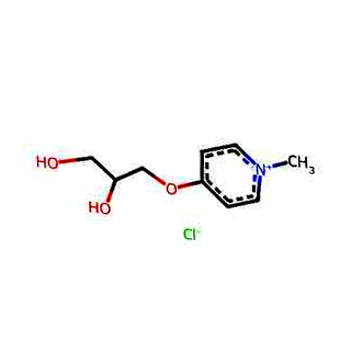 C[n+]1ccc(OCC(O)CO)cc1.[Cl-]